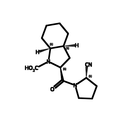 N#C[C@@H]1CCCN1C(=O)[C@@H]1C[C@@H]2CCCC[C@@H]2N1C(=O)O